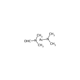 CC(=O)N(C)C.CN(C)C=O